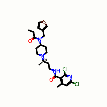 CCC(=O)N(Cc1ccsc1)C1CCN([C@H](C)CCNC(=O)c2c(C)cc(Cl)nc2Cl)CC1